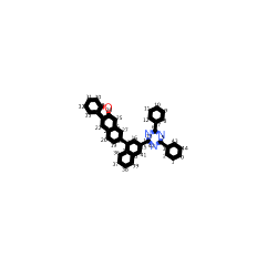 c1ccc(-c2nc(-c3ccccc3)nc(-c3cc(-c4ccc5cc6c(cc5c4)oc4ccccc46)c4ccccc4c3)n2)cc1